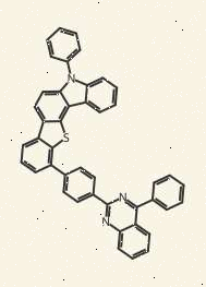 c1ccc(-c2nc(-c3ccc(-c4cccc5c4sc4c5ccc5c4c4ccccc4n5-c4ccccc4)cc3)nc3ccccc23)cc1